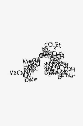 CCOC(=O)C1=NN(c2ccc(Cl)cc2Cl)C(C)(C(=O)OCC)C1.COC(=O)c1ccc(I)cc1S(=O)(=O)[N-]C(=O)Nc1nc(C)nc(OC)n1.COc1cc(OC)n2nc(NS(=O)(=O)c3c(C(F)(F)F)ccnc3OC)nc2n1.Cc1nn(C)c(O)c1C(=O)c1ccc(C(F)(F)F)cc1S(C)(=O)=O.[Na+]